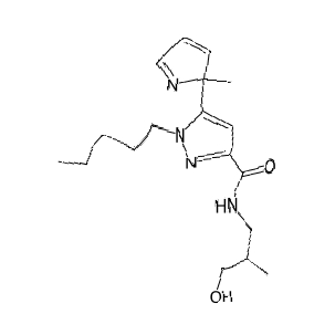 CCCCCn1nc(C(=O)NCC(C)CO)cc1C1(C)C=CC=N1